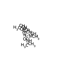 CC(C)CNC(=O)C1(CN2CCN(C(=O)OC(C)(C)C)C(C)(C)C2)CCN(C(C)C)CC1